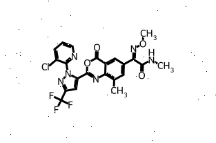 CNC(=O)C(=NOC)c1cc(C)c2nc(-c3cc(C(F)(F)F)nn3-c3ncccc3Cl)oc(=O)c2c1